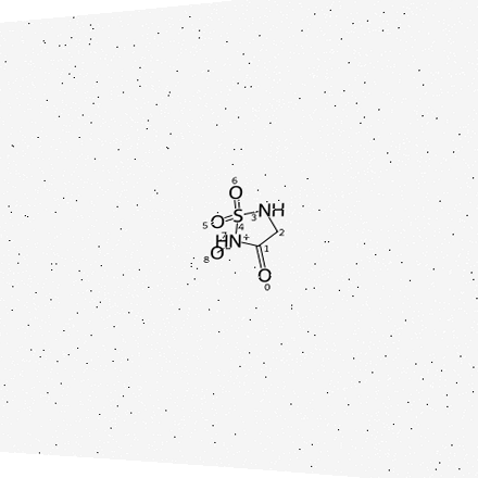 O=C1CNS(=O)(=O)[NH+]1[O-]